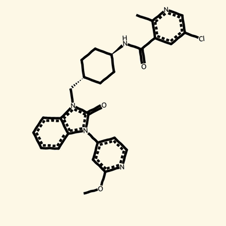 COc1cc(-n2c(=O)n(C[C@H]3CC[C@H](NC(=O)c4cc(Cl)cnc4C)CC3)c3ccccc32)ccn1